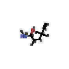 C#CC(C)(C)CC(C)C(=O)NC